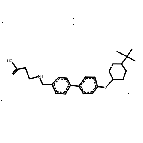 CC(C)(C)C1CCC(Oc2ccc(-c3ccc(CNCCC(=O)O)cc3)cc2)CC1